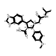 COc1ccc([C@@H]2[C@@H](C(=O)O)C(c3ccc4c(c3)OCO4)CN2CC(=O)NC(C)C)cc1